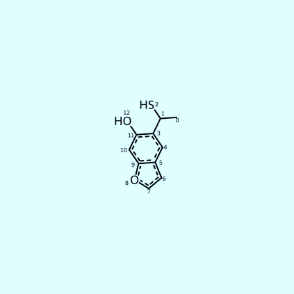 CC(S)c1cc2ccoc2cc1O